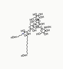 CCCCCCCCCCCCC/C=C/[C@@H](O)[C@H](CO[C@@H]1OC(CO)[C@@H](O[C@@H]2OC(CO[C@@H]3OC(CO)[C@@H](O)[C@H](O)C3NC(C)=O)[C@H](O)[C@H](O[C@H]3OC(CO)[C@H](O)[C@H](O)C3O)C2O)[C@H](O)C1O)NC(=O)CCCCCCCCCCCCCCCCCCCCC